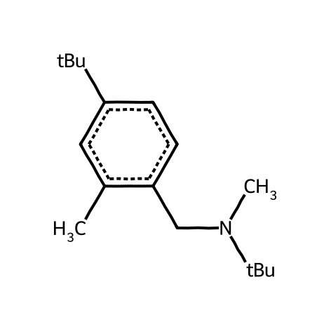 Cc1cc(C(C)(C)C)ccc1CN(C)C(C)(C)C